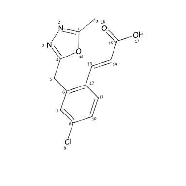 Cc1nnc(Cc2cc(Cl)ccc2C=CC(=O)O)o1